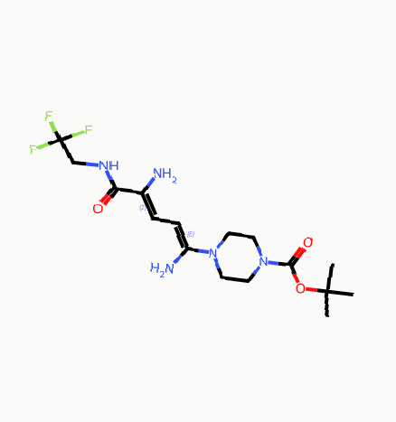 CC(C)(C)OC(=O)N1CCN(/C(N)=C/C=C(\N)C(=O)NCC(F)(F)F)CC1